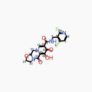 O=C(NCc1c(F)ccnc1F)c1cn2c(c(O)c1=O)C(=O)N1CCOC1C2